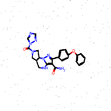 NC(=O)c1c(-c2ccc(Oc3ccccc3)cc2)nn2c1NCC1CN(C(=O)n3cncn3)CC12